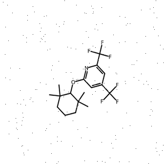 CC1(C)C[CH]CC(C)(C)C1Oc1cc(C(F)(F)F)cc(C(F)(F)F)n1